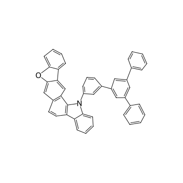 c1ccc(-c2cc(-c3ccccc3)cc(-c3cccc(-n4c5ccccc5c5ccc6cc7oc8ccccc8c7cc6c54)c3)c2)cc1